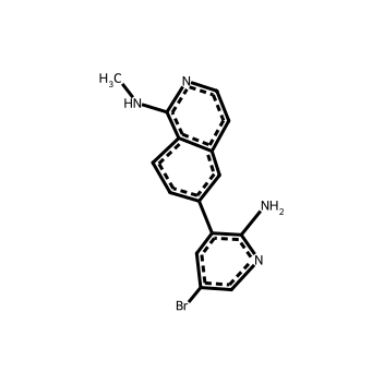 CNc1nccc2cc(-c3cc(Br)cnc3N)ccc12